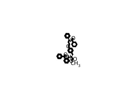 COC(=O)[C@H](Cc1ccc(OCCN(C(=O)C2CCCCC2)c2ccccc2)cc1)Nc1ccccc1C(=O)c1ccccc1